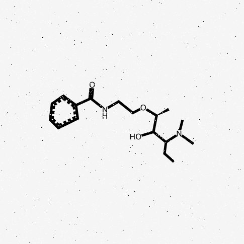 CCC(C(O)[C@H](C)OCCNC(=O)c1ccccc1)N(C)C